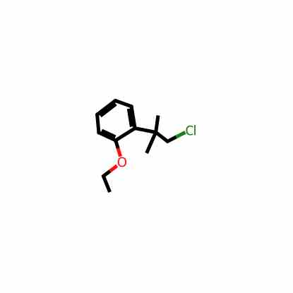 CCOc1ccccc1C(C)(C)CCl